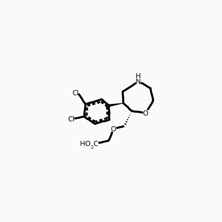 O=C(O)COC[C@H]1OCCNC[C@@H]1c1ccc(Cl)c(Cl)c1